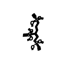 C#C[Si](CCCC(CC[Si](C#C)(OC)OC)[Si](C#C)(OC)OC)(OC)OC